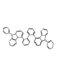 C1=CC2C(C(c3ccccc3-c3ccccc3-c3cccc4c3c3ccccc3n4C3=CCCC=C3)=C1)C1=C(CCC=C1)N2c1ccccc1